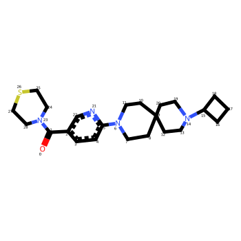 O=C(c1ccc(N2CCC3(CC2)CCN(C2CCC2)CC3)nc1)N1CCSCC1